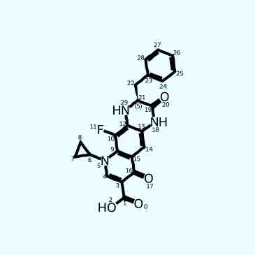 O=C(O)c1cn(C2CC2)c2c(F)c3c(cc2c1=O)NC(=O)[C@H](Cc1ccccc1)N3